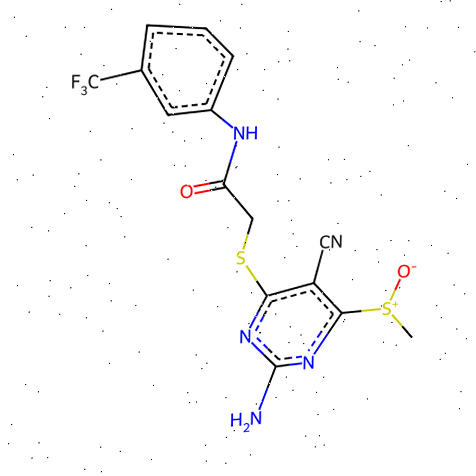 C[S+]([O-])c1nc(N)nc(SCC(=O)Nc2cccc(C(F)(F)F)c2)c1C#N